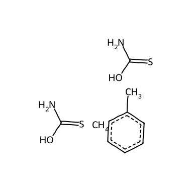 C.Cc1ccccc1.NC(O)=S.NC(O)=S